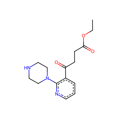 CCOC(=O)CCC(=O)c1cccnc1N1CCNCC1